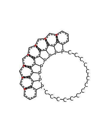 c1ccc(P2CCCCCCCCCCCCCCP(c3ccccc3)P(c3ccccc3)P(c3ccccc3)P(c3ccccc3)P(c3ccccc3)P(c3ccccc3)P2c2ccccc2)cc1